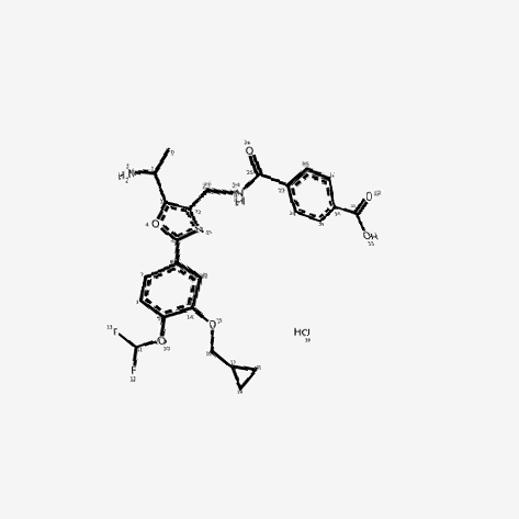 CC(N)c1oc(-c2ccc(OC(F)F)c(OCC3CC3)c2)nc1CNC(=O)c1ccc(C(=O)O)cc1.Cl